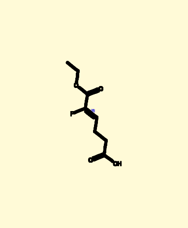 CCOC(=O)/C(F)=C/CCC(=O)O